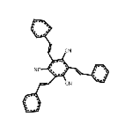 N#Cc1c(/C=C/c2ccccc2)c(C#N)c(/C=C/c2ccccc2)c(C#N)c1/C=C/c1ccccc1